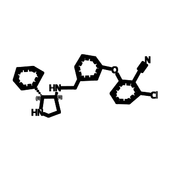 N#Cc1c(Cl)cccc1Oc1cccc(CN[C@@H]2CCN[C@@H]2c2ccccc2)c1